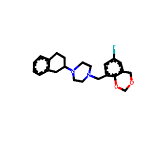 Fc1cc2c(c(CN3CCN(C4CCc5ccccc5C4)CC3)c1)OCOC2